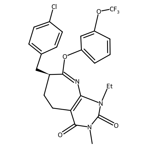 CCn1c2c(c(=O)n(C)c1=O)CC[C@@H](Cc1ccc(Cl)cc1)C(Oc1cccc(OC(F)(F)F)c1)=N2